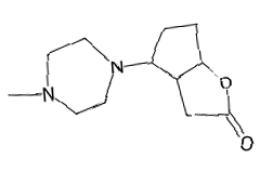 CN1CCN(C2CCC3OC(=O)CC32)CC1